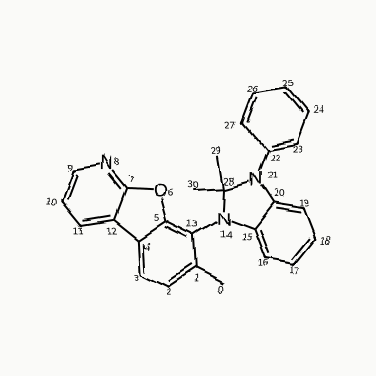 Cc1ccc2c(oc3ncccc32)c1N1c2ccccc2N(c2ccccc2)C1(C)C